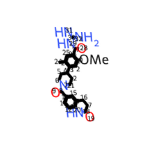 COc1cc(C2CCN(C(=O)c3ccc4c(c3)CCC(=O)N4)CC2)c(C)cc1C(=O)NC(=N)N